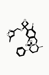 Cc1cc(COC2(c3cc(F)c(CN4[C@@H](C)CC[C@H](c5ccccc5)S4(=O)=O)cc3F)COC2)no1